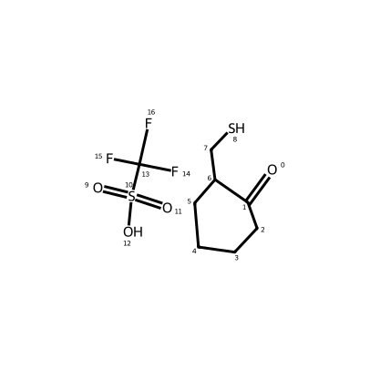 O=C1CCCCC1CS.O=S(=O)(O)C(F)(F)F